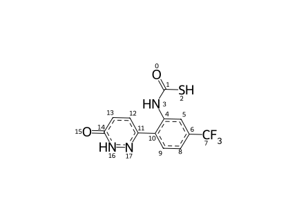 O=C(S)Nc1cc(C(F)(F)F)ccc1-c1ccc(=O)[nH]n1